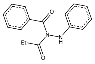 CCC(=O)N(Nc1ccccc1)C(=O)c1ccccc1